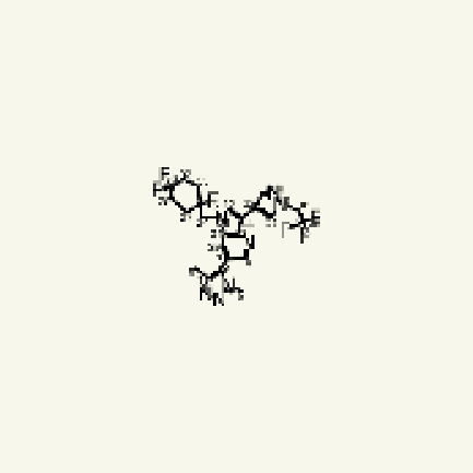 Cc1nnn(C)c1-c1cnc2c(-c3cnn(CC(F)(F)F)c3)cn(CC3(F)CCC(F)(F)CC3)c2c1